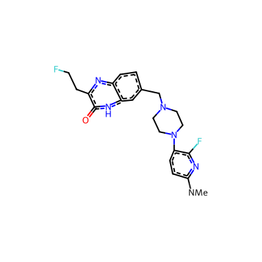 CNc1ccc(N2CCN(Cc3ccc4nc(CCF)c(=O)[nH]c4c3)CC2)c(F)n1